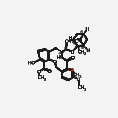 COC(=O)c1c(O)ccc(C[C@H](NC(=O)CSC)B2OC3C[C@@H]4C[C@@H](C4(C)C)[C@]3(C)O2)c1OCc1ccc(OC)cc1